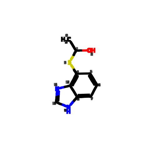 CC(O)Sc1cccc2[nH]cnc12